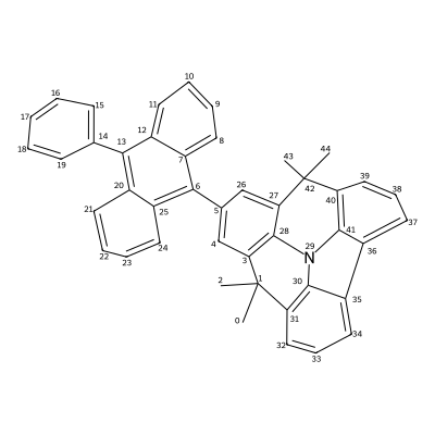 CC1(C)c2cc(-c3c4ccccc4c(-c4ccccc4)c4ccccc34)cc3c2-n2c4c1cccc4c1cccc(c12)C3(C)C